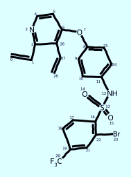 C=Cc1nccc(Oc2ccc(NS(=O)(=O)c3ccc(C(F)(F)F)cc3Br)cc2)c1C=C